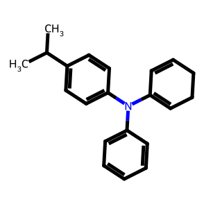 CC(C)c1ccc(N(C2=CCCC=C2)c2ccccc2)cc1